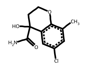 Cc1cc(Cl)cc2c1OCCC2(O)C(N)=O